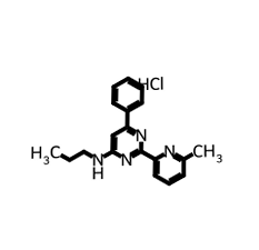 CCCNc1cc(-c2ccccc2)nc(-c2cccc(C)n2)n1.Cl